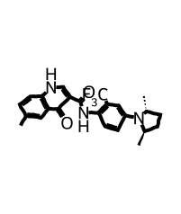 Cc1ccc2[nH]cc(C(=O)Nc3ccc(N4[C@H](C)CC[C@H]4C)cc3C(F)(F)F)c(=O)c2c1